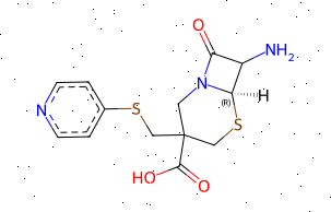 NC1C(=O)N2CC(CSc3ccncc3)(C(=O)O)CS[C@H]12